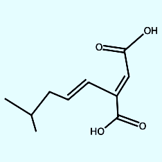 CC(C)CC=C/C(=C\C(=O)O)C(=O)O